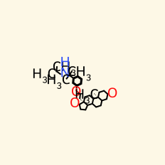 CC(C)CNC(C)(C)c1cccc(OCC[C@]23CCC4C(CCC5CC(=O)CC[C@@]54C)C2CCC3=O)c1